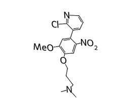 COc1cc(-c2cccnc2Cl)c([N+](=O)[O-])cc1OCCCN(C)C